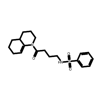 O=C(CCCNS(=O)(=O)c1ccccc1)N1CCCC2CCCC=C21